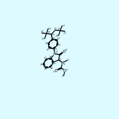 COC(=O)N(C)C1C(=O)N(c2ccc(C(CC(C)(C)C)C(C)(C)C)cc2)c2ccccc21